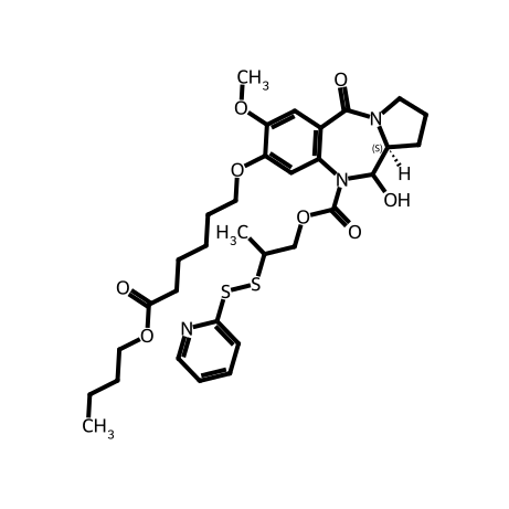 CCCCOC(=O)CCCCCOc1cc2c(cc1OC)C(=O)N1CCC[C@H]1C(O)N2C(=O)OCC(C)SSc1ccccn1